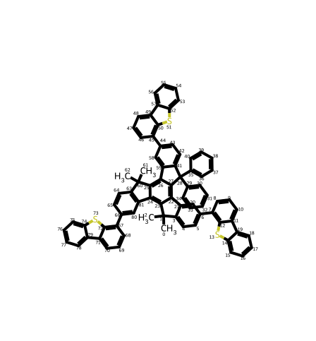 CC1(C)c2ccc(-c3cccc4c3sc3ccccc34)cc2-c2c1c1c(c3c2C(c2ccccc2)(c2ccccc2)c2ccc(-c4cccc5c4sc4ccccc45)cc2-3)C(C)(C)c2ccc(-c3cccc4c3sc3ccccc34)cc2-1